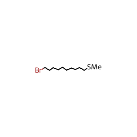 [CH2]SCCCCCCCCCCBr